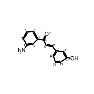 Nc1cccc(C(=O)C=Cc2cccc(O)c2)c1